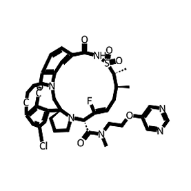 C[C@@H]1[C@@H](C)C/C=C(\F)[C@H](C(=O)N(C)CCOc2cncnc2)N2CCC[C@@]23CN2CCCCc4cc(Cl)cc3c4COc3ccc(cc32)C(=O)NS1(=O)=O